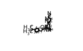 CC(C)c1ccc(CC(O)N[C@H]2CN(c3ccc(C#N)nn3)CC23CC3)cc1